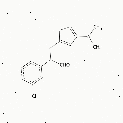 CN(C)C1=CCC(CC(C=O)c2cccc(Cl)c2)=C1